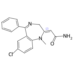 CN1/C(=C\C(N)=O)CN=C(c2ccccc2)c2cc(Cl)ccc21